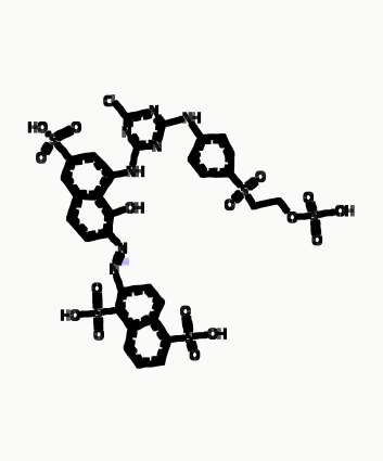 O=S(=O)(O)OCCS(=O)(=O)c1ccc(Nc2nc(Cl)nc(Nc3cc(S(=O)(=O)O)cc4ccc(/N=N/c5ccc6c(S(=O)(=O)O)cccc6c5S(=O)(=O)O)c(O)c34)n2)cc1